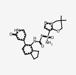 CC1(C)COc2c([S@](N)(=O)=NC(=O)Nc3c(-c4cc[nH]c(=O)c4)ccc4c3CCC4)cnn2C1